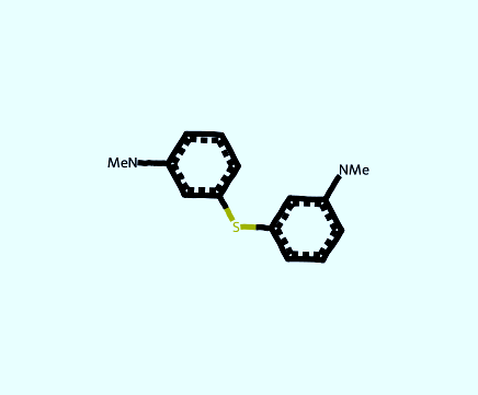 CNc1cccc(Sc2cccc(NC)c2)c1